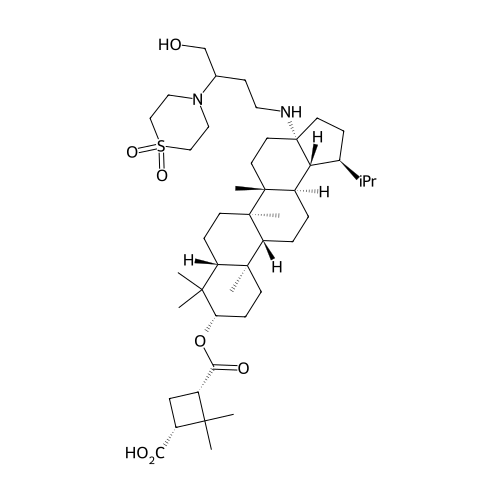 CC(C)[C@@H]1CC[C@]2(NCCC(CO)N3CCS(=O)(=O)CC3)CC[C@]3(C)[C@H](CC[C@@H]4[C@@]5(C)CC[C@H](OC(=O)[C@H]6C[C@@H](C(=O)O)C6(C)C)C(C)(C)[C@@H]5CC[C@]43C)[C@@H]12